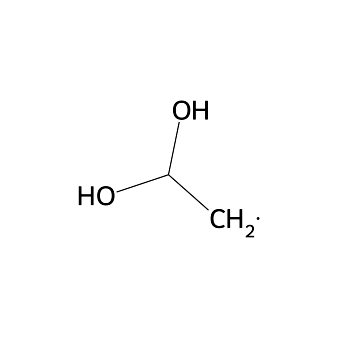 [CH2]C(O)O